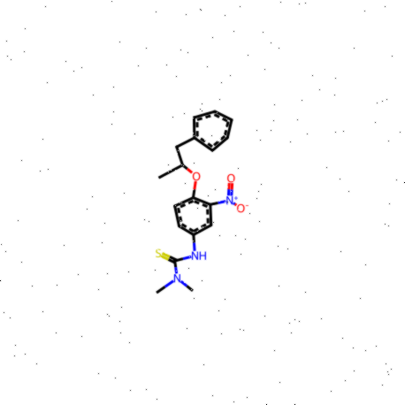 CC(Cc1ccccc1)Oc1ccc(NC(=S)N(C)C)cc1[N+](=O)[O-]